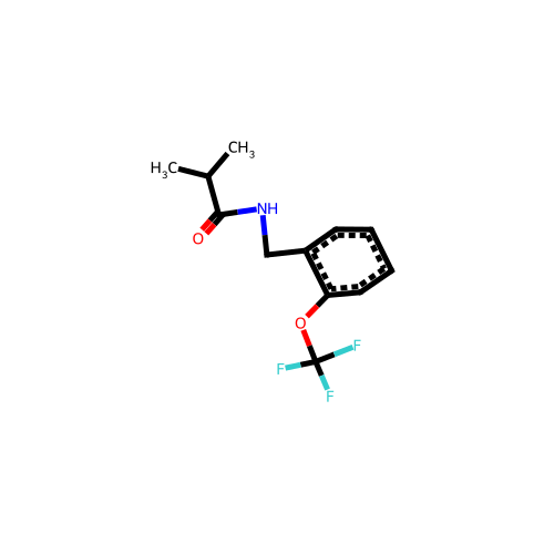 CC(C)C(=O)NCc1ccccc1OC(F)(F)F